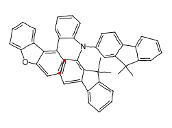 CC1(C)c2ccccc2-c2ccc(N(c3ccccc3-c3cccc4oc5ccccc5c34)c3cccc4c3C(C)(C)c3ccccc3-4)cc21